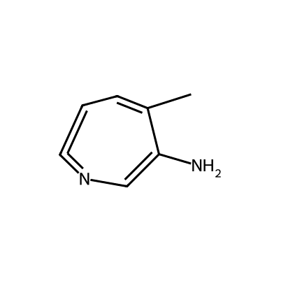 CC1=CC=C=NC=C1N